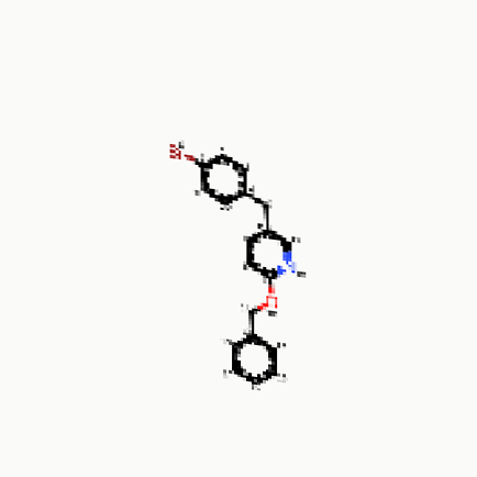 Brc1ccc(Cc2ccc(OCc3ccccc3)nc2)cc1